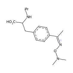 C/C(=N/ON(C)C)c1ccc(CC(NC(C)C)C(=O)O)cc1